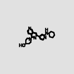 OC1CCN(c2nc(-c3ccnc(NC4CCCCC4)c3)cc3cnccc23)CC1